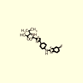 CC(C)C(NC(=O)c1nc(-c2ccc(Nc3nc4ccc(F)cc4s3)cc2)cs1)C(=O)O